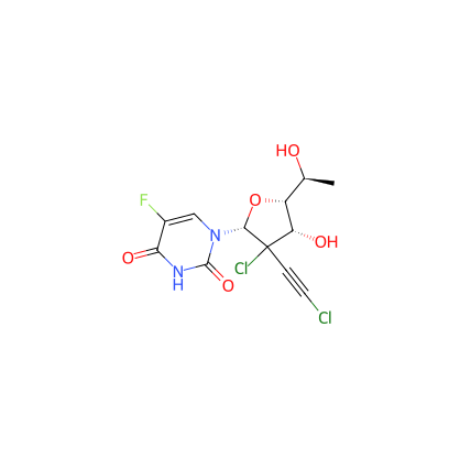 C[C@H](O)[C@H]1O[C@@H](n2cc(F)c(=O)[nH]c2=O)C(Cl)(C#CCl)[C@H]1O